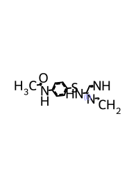 C=C/N=C(\C=N)NSc1ccc(NC(C)=O)cc1